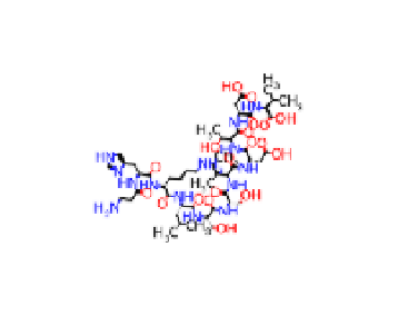 CC[C@H](C)[C@H](NC(=O)[C@H](CO)NC(=O)[C@H](CO)NC(=O)[C@H](CC(C)C)NC(=O)[C@H](CCCCN)NC(=O)[C@H](Cc1c[nH]cn1)NC(=O)CCN)C(=O)N[C@@H](CC(=O)O)C(=O)N[C@H](C(=O)N[C@@H](CC(=O)O)C(=O)N[C@H](C(=O)O)C(C)C)[C@@H](C)O